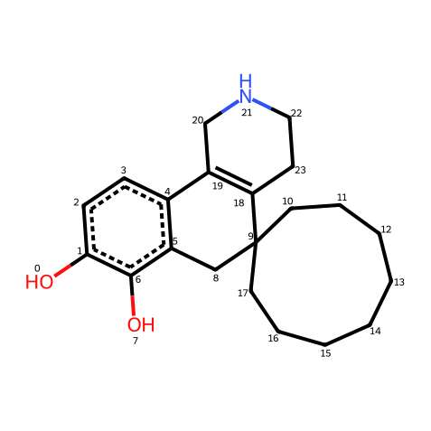 Oc1ccc2c(c1O)CC1(CCCCCCCC1)C1=C2CNCC1